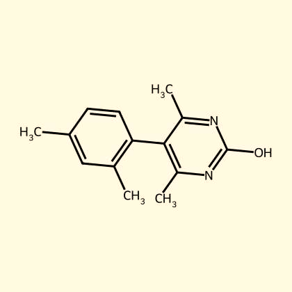 Cc1ccc(-c2c(C)nc(O)nc2C)c(C)c1